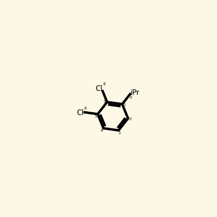 CC(C)c1[c]ccc(Cl)c1Cl